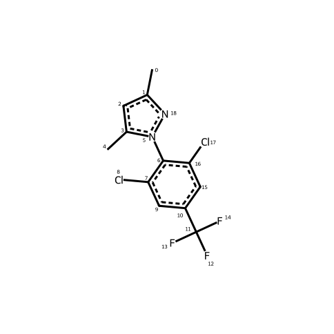 Cc1[c]c(C)n(-c2c(Cl)cc(C(F)(F)F)cc2Cl)n1